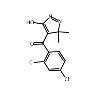 CC1(C)N=NC(O)=C1C(=O)c1ccc(Cl)cc1Cl